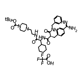 CC(C)(C)OC(=O)N1CCN(CCNC(=O)[C@@H](NC(=O)[C@H](Cc2ccc(C(=N)N)cc2)C(=O)NCc2ccccc2)C2CCCCC2)CC1.O=C(O)C(F)(F)F